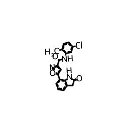 Cc1ccc(Cl)cc1NC(=O)c1cc(-c2cccc3c2NC(=O)C3)on1